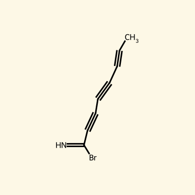 CC#CC#CC#CC(=N)Br